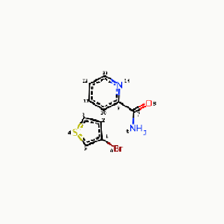 Brc1ccsc1.NC(=O)c1ccccn1